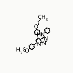 CCCCOc1ccc(-c2cc(-c3ccc(OC)cc3)nc3ncnc(Nc4ccccc4)c23)cc1